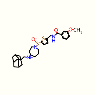 COc1cccc(C(=O)NCc2ccc([S+]([O-])N3CCCC(NCC45CC6CC(CC(C6)C4)C5)CC3)s2)c1